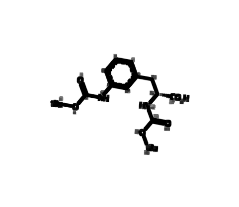 CC(C)(C)OC(=O)Nc1cccc(C[C@@H](NC(=O)OC(C)(C)C)C(=O)O)c1